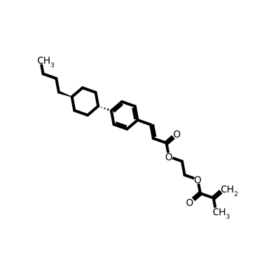 C=C(C)C(=O)OCCOC(=O)/C=C/c1ccc([C@H]2CC[C@H](CCCC)CC2)cc1